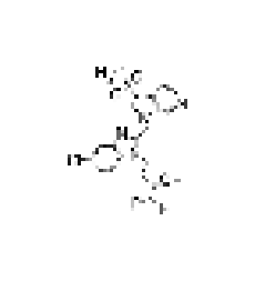 CS(=O)(=O)c1nn(Cc2nc3cc(Cl)ccc3n2CCC(O)C(F)F)c2cnccc12